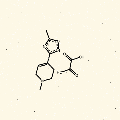 Cc1nc(C2=CCN(C)CC2)no1.O=C(O)C(=O)O